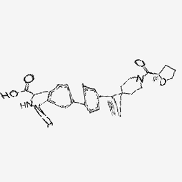 O=C(O)C1NNc2cc(-c3ccc([C@@H]4CC45CCN(C(=O)[C@H]4CCCO4)CC5)cc3)ccc21